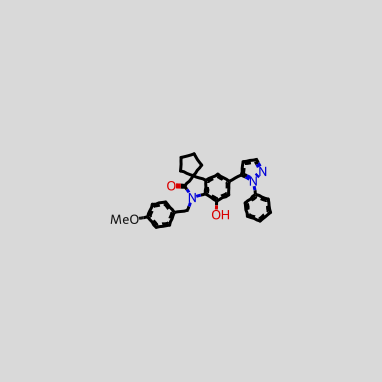 COc1ccc(CN2C(=O)C3(CCCC3)c3cc(-c4ccnn4-c4ccccc4)cc(O)c32)cc1